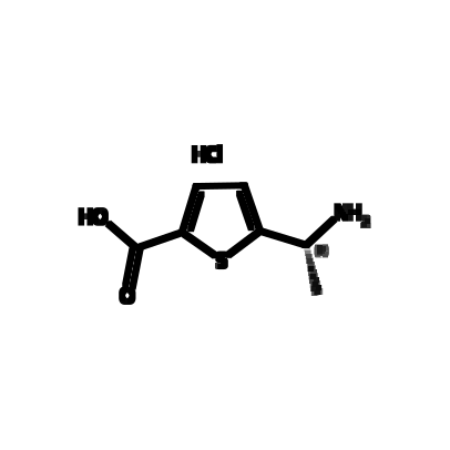 C[C@@H](N)c1ccc(C(=O)O)s1.Cl